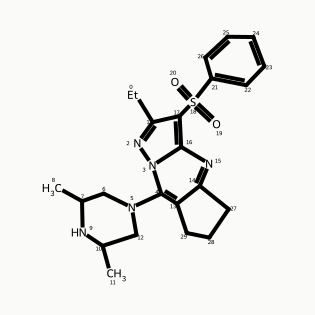 CCc1nn2c(N3CC(C)NC(C)C3)c3c(nc2c1S(=O)(=O)c1ccccc1)CCC3